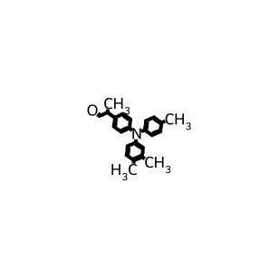 Cc1ccc(N(c2ccc(C(C)C=O)cc2)c2ccc(C)c(C)c2)cc1